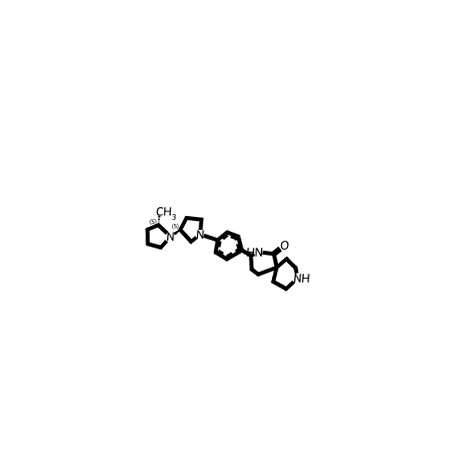 C[C@H]1CCCN1[C@H]1CCN(c2ccc(C3CCC4(CCNCC4)C(=O)N3)cc2)C1